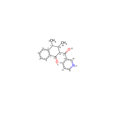 CC1c2ccccc2C(=O)C(C(=O)c2cccnc2)C1C